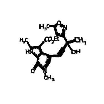 CCOC(=O)c1c(C)[nH]c2c(=O)n(C)cc(C#CC(C)(O)c3cc(C)on3)c12